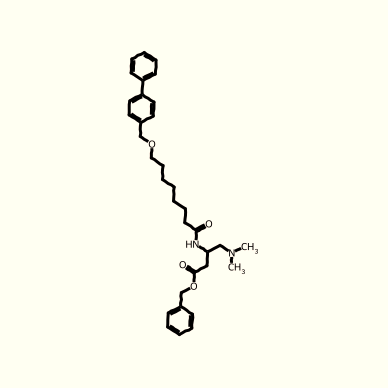 CN(C)CC(CC(=O)OCc1ccccc1)NC(=O)CCCCCCCOCc1ccc(-c2ccccc2)cc1